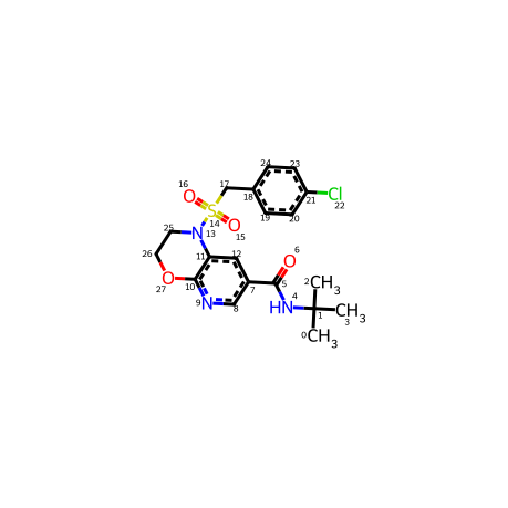 CC(C)(C)NC(=O)c1cnc2c(c1)N(S(=O)(=O)Cc1ccc(Cl)cc1)CCO2